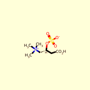 C[N+](C)(C)C[C@@H](CC(=O)O)OS(=O)(=O)[O-]